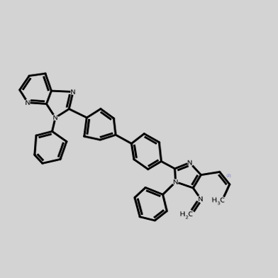 C=Nc1c(/C=C\C)nc(-c2ccc(-c3ccc(-c4nc5cccnc5n4-c4ccccc4)cc3)cc2)n1-c1ccccc1